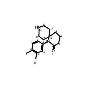 Cc1ccc(N2C(=O)CCCC23CCNCC3)cc1F